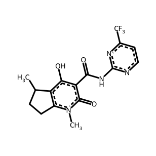 CC1CCc2c1c(O)c(C(=O)Nc1nccc(C(F)(F)F)n1)c(=O)n2C